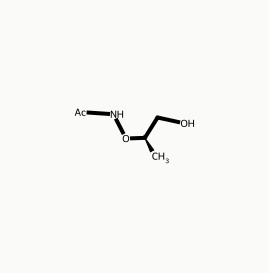 CC(=O)NO[C@H](C)CO